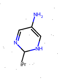 CC(C)C1N=CC(N)=CN1